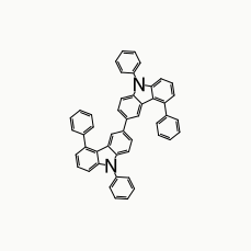 c1ccc(-c2cccc3c2c2cc(-c4ccc5c(c4)c4c(-c6ccccc6)cccc4n5-c4ccccc4)ccc2n3-c2ccccc2)cc1